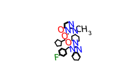 CN(c1nccc(=O)n1COC(=O)C1CCCC1)C1CCN(c2nc3c(n2Cc2ccc(F)cc2)=CCCC=3)CC1